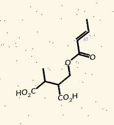 C/C=C/C(=O)OCC(C(=O)O)C(C)C(=O)O